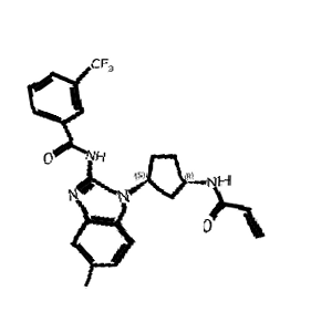 C=CC(=O)N[C@@H]1CC[C@H](n2c(NC(=O)c3cccc(C(F)(F)F)c3)nc3cc(C)ccc32)C1